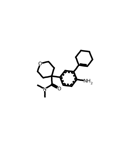 CN(C)C(=O)C1(c2ccc(N)c(C3=CCCCC3)c2)CCOCC1